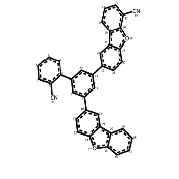 N#Cc1ccccc1-c1cc(-c2ccc3oc4ccccc4c3c2)cc(-c2ccc3oc4c(C#N)cccc4c3c2)c1